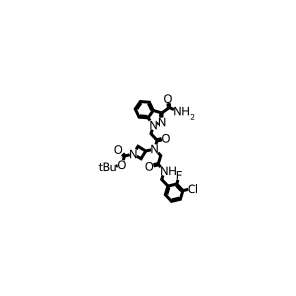 CC(C)(C)OC(=O)N1CC(N(CC(=O)NCc2cccc(Cl)c2F)C(=O)Cn2nc(C(N)=O)c3ccccc32)C1